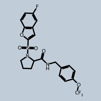 O=C(NCc1ccc(OC(F)(F)F)cc1)C1CCCN1S(=O)(=O)c1cc2cc(F)ccc2o1